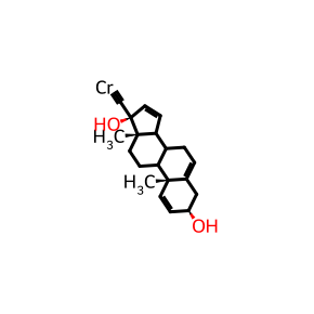 C[C@]12C=C[C@H](O)CC1=CCC1C2CC[C@@]2(C)C1C=C[C@@]2(O)[C]#[Cr]